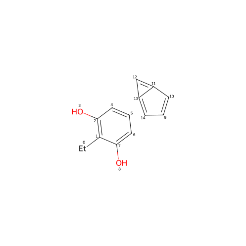 CCc1c(O)cccc1O.c1cc2cc-2c1